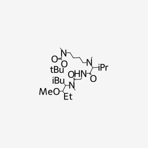 CCC(C)C(C(CC)OC)N(C)C(=O)CNC(=O)C(C(C)C)N(C)CCCCN(C)C(=O)OC(C)(C)C